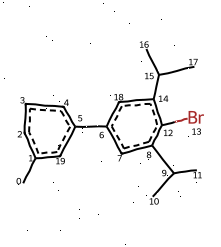 Cc1cccc(-c2cc(C(C)C)c(Br)c(C(C)C)c2)c1